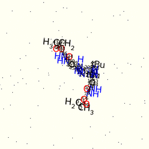 C=C(C)C(=O)OCCNC(=O)Nc1ccc(-c2nc3/c(=C\c4c(C(C)(C)C)nn5nc(-c6ccc(NC(=O)NCCOC(=O)C(=C)C)cc6)[nH]c45)c(C(C)(C)C)nn3n2)cc1